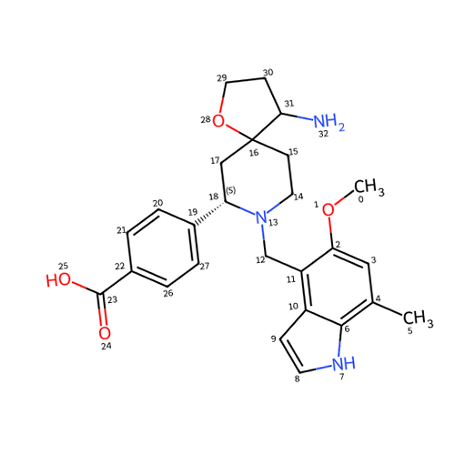 COc1cc(C)c2[nH]ccc2c1CN1CCC2(C[C@H]1c1ccc(C(=O)O)cc1)OCCC2N